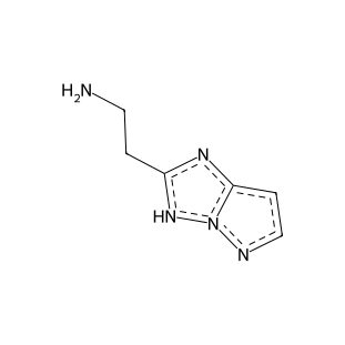 NCCc1nc2ccnn2[nH]1